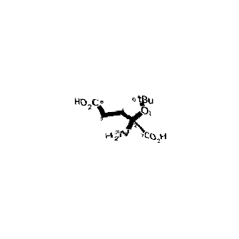 CC(C)(C)O[C@](N)(CCC(=O)O)C(=O)O